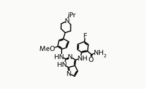 COc1cc(C2CCN(C(C)C)CC2)ccc1Nc1nc(Nc2ccc(F)cc2C(N)=O)c2ccnc-2[nH]1